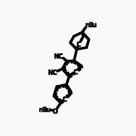 CCCCOc1ccc(-c2ccc(C34CCC(CCCC)(CC3)CC4)c(C#N)c2C#N)cc1